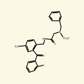 O=C(CN(Cc1ccccc1)C(=O)O)NCc1ccc([N+](=O)[O-])cc1C(=O)c1ccccc1F